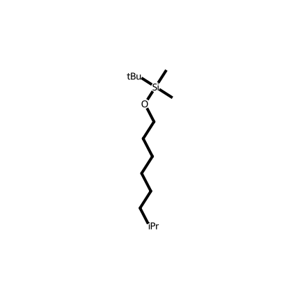 CC(C)CCCCCCO[Si](C)(C)C(C)(C)C